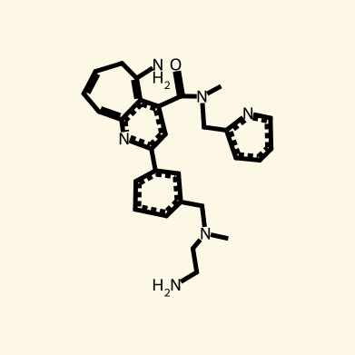 CN(CCN)Cc1cccc(-c2cc(C(=O)N(C)Cc3ccccn3)c3c(n2)=CC=CCC=3N)c1